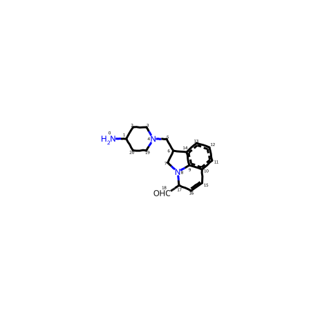 NC1CCN(CC2CN3c4c(cccc42)C=CC3C=O)CC1